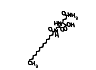 CCCCCCCCCCCCCCCC(=O)NCC(=O)N[C@@H](CCC(N)=O)C(=O)O